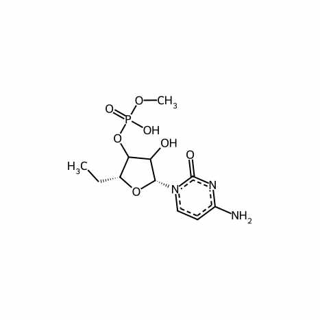 CC[C@H]1O[C@@H](n2ccc(N)nc2=O)C(O)C1OP(=O)(O)OC